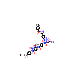 CC(C)Oc1c(NC(=O)c2ccc(NC(=O)[C@H](CC(N)=O)NC(=O)c3ccc(CCNC(=O)c4ccc(C#N)cc4)cc3)cc2)ccc(C(=O)Nc2ccc(C(=O)O)cc2)c1O